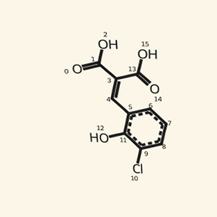 O=C(O)C(=Cc1cccc(Cl)c1O)C(=O)O